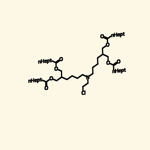 CCCCCCCC(=O)OCC(CCCCN(CCCl)CCCCC(COC(=O)CCCCCCC)COC(=O)CCCCCCC)COC(=O)CCCCCCC